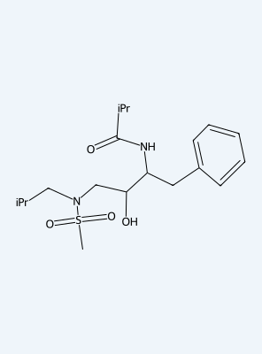 CC(C)CN(CC(O)C(Cc1ccccc1)NC(=O)C(C)C)S(C)(=O)=O